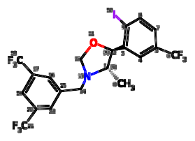 C[C@H]1[C@H](c2cc(C(F)(F)F)ccc2I)OCN1Cc1cc(C(F)(F)F)cc(C(F)(F)F)c1